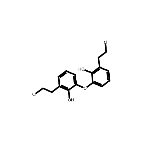 Oc1c(CCCl)cccc1Oc1cccc(CCCl)c1O